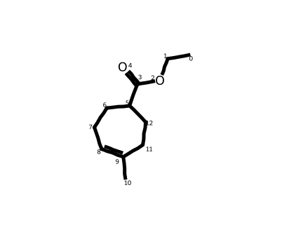 CCOC(=O)C1CCC=C(C)CC1